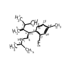 C=C(C(C)C)[C@H](CNC(C)C)c1ccc(C)cc1F